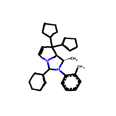 Cc1ccccc1N1C(C2CCCCC2)N2C=CC(C3CCCC3)(C3CCCC3)C2[C@@H]1C